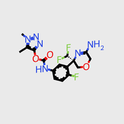 Cc1c(OC(=O)Nc2ccc(F)c([C@]3(C(F)F)COCC(N)=N3)c2)nnn1C